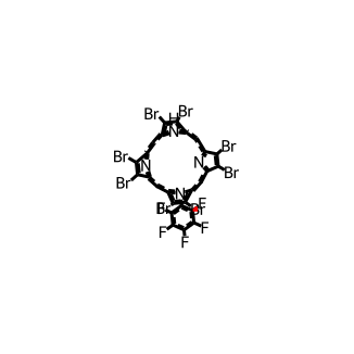 Fc1c(F)c(F)c(-n2c3cc4nc(cc5[nH]c(cc6nc(cc2c(Br)c3Br)C(Br)=C6Br)c(Br)c5Br)C(Br)=C4Br)c(F)c1F